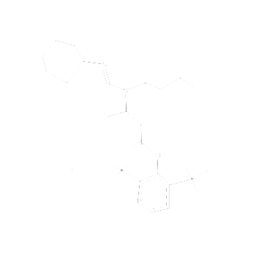 CCCCN1C(=NC2CCCCC2)SCC1CC(=O)Nc1c(C(F)(F)F)cccc1C(F)(F)F.Cl